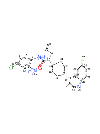 C=CCC(C(=O)Nc1ccc(Cl)cc1N)[C@H]1CC[C@@H](c2ccnc3ccc(F)cc32)CC1